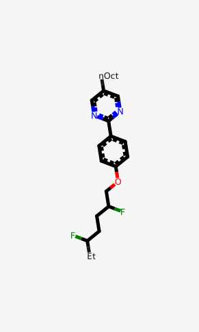 CCCCCCCCc1cnc(-c2ccc(OCC(F)CCC(F)CC)cc2)nc1